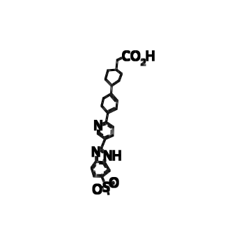 CS(=O)(=O)c1ccc2nc(-c3ccc(C4=CC=C(C5CCC(CC(=O)O)CC5)CC4)nc3)[nH]c2c1